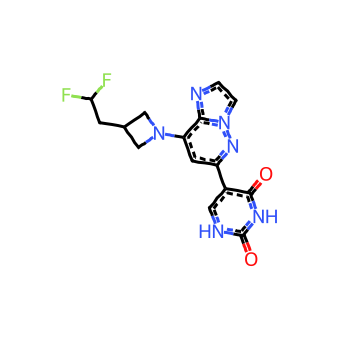 O=c1[nH]cc(-c2cc(N3CC(CC(F)F)C3)c3nccn3n2)c(=O)[nH]1